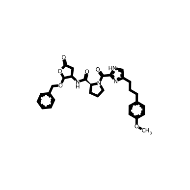 COc1ccc(CCCc2c[nH]c(C(=O)N3CCC[C@H]3C(=O)NC3CC(=O)OC3OCc3ccccc3)n2)cc1